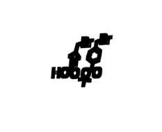 CC(C)(C)OC(=O)c1ccc(CBr)cc1.O=C(O)N1CC(CBr)C1